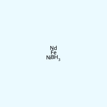 B.[Fe].[Nd].[Ni]